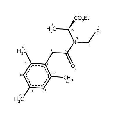 CCOC(=O)[C@H](C)N(CC(C)C)C(=O)Cc1c(C)cc(C)cc1C